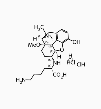 CO[C@@]12CC[C@H](N[C@@H](CCCCN)C(=O)O)[C@@H]3Oc4c(O)ccc5c4[C@@]31CCN(C)[C@@H]2C5.Cl.Cl.Cl